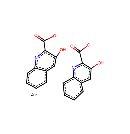 O=C([O-])c1nc2ccccc2cc1O.O=C([O-])c1nc2ccccc2cc1O.[Zn+2]